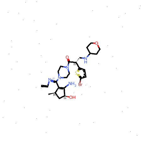 C=C/N=C(\C1=C(N)[C@@H](O)C[C@H]1C)N1CCN(C(=O)[C@H](CNC2CCOCC2)c2ccc(Br)s2)CC1